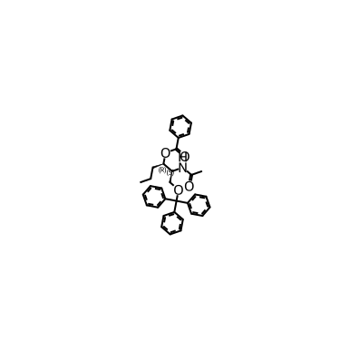 CCC[C@@H](OC(=O)c1ccccc1)[C@H](COC(c1ccccc1)(c1ccccc1)c1ccccc1)NC(C)=O